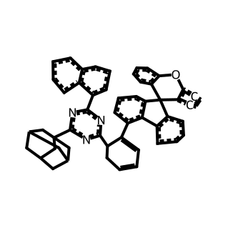 C1=CCC(c2nc(-c3cccc4ccccc34)nc(C34CC5CC(CC(C5)C3)C4)n2)C(c2cccc3c2-c2ccccc2C32c3ccccc3Oc3ccccc32)=C1